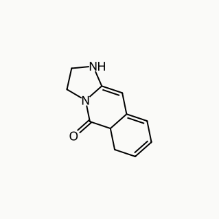 O=C1C2CC=CC=C2C=C2NCCN12